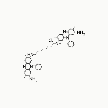 Cc1cc2nc3cc(C)c(NCCCCCCCC(Cl)Nc4cc5c(cc4C)nc4cc(C)c(N)cc4[n+]5-c4ccccc4)cc3[n+](-c3ccccc3)c2cc1N